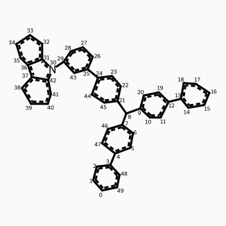 c1ccc(-c2ccc(C(c3ccc(-c4ccccc4)cc3)c3ccc(-c4cccc(-n5c6ccccc6c6ccccc65)c4)cc3)cc2)cc1